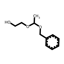 CC(OCCO)OCc1ccccc1